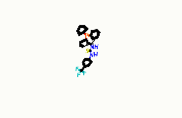 C[C@@H](NC(=S)Nc1ccc(C(F)(F)F)cc1)[C@@H]1C=CC=C1P(c1ccccc1)c1ccccc1